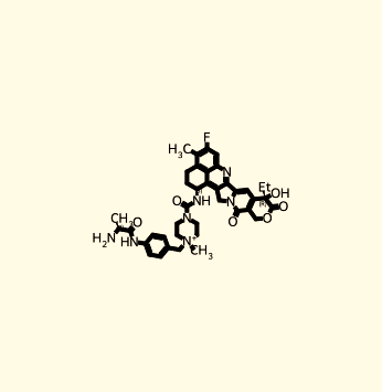 CC[C@]1(O)C(=O)OCc2c1cc1n(c2=O)Cc2c-1nc1cc(F)c(C)c3c1c2[C@@H](NC(=O)N1CC[N+](C)(Cc2ccc(NC(=O)[C@@H](C)N)cc2)CC1)CC3